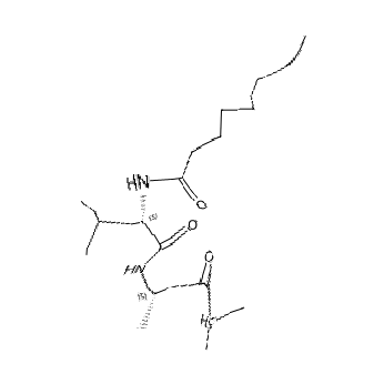 CCCCCCCC(=O)N[C@H](C(=O)N[C@@H](C)C(=O)[SH](C)C)C(C)C